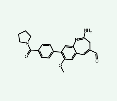 COc1cc2c(cc1-c1ccc(C(=O)N3CCCC3)cc1)N=C(N)CC(C=O)=C2